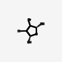 CC(C)C1C(C(C)C)[C@@H](O)O[C@H]1O